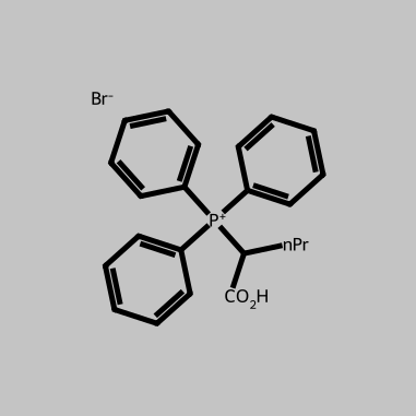 CCCC(C(=O)O)[P+](c1ccccc1)(c1ccccc1)c1ccccc1.[Br-]